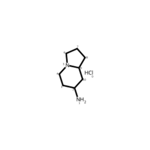 Cl.NC1CCN2CCCC2C1